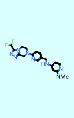 CNc1cc(NCc2ccc(N3CCn4c(nnc4C(F)F)C3)nc2)ccn1